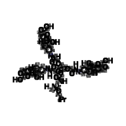 CC(C)CCOC(C)(N)CCNC(=O)COCC(COCC(=O)N/N=C1\C=C[C@@]2(C)C(=C1)CC[C@H]1[C@@H]3C[C@@H](C)[C@@]4(C(=O)CO)O[C@]34C[C@H](O)[C@@]12F)(COCC(=O)N/N=C1\C=C[C@@]2(C)C(=C1)CC[C@H]1[C@@H]3C[C@@H](C)[C@@]4(C(=O)CO)O[C@]34C[C@H](O)[C@@]12F)COCC(=O)N/N=C1\C=C[C@@]2(C)C(=C1)CC[C@H]1[C@@H]3C[C@@H](C)[C@@]4(C(=O)CO)O[C@]34C[C@H](O)[C@@]12F